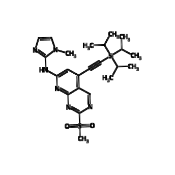 CC(C)[Si](C#Cc1cc(Nc2nccn2C)nc2nc(S(C)(=O)=O)ncc12)(C(C)C)C(C)C